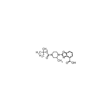 CC1CN(C(=O)OC(C)(C)C)CCN1c1nc2c(C(=O)O)cccc2o1